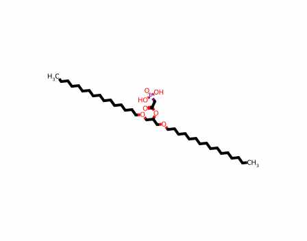 CCCCCCCCCCCCCCCCOCC(COCCCCCCCCCCCCCCCC)OC(=O)CP(=O)(O)O